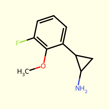 COc1c(F)cccc1C1CC1N